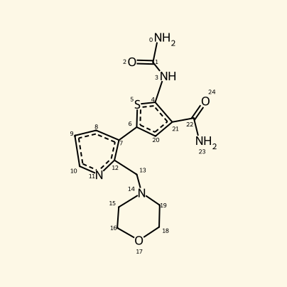 NC(=O)Nc1sc(-c2cccnc2CN2CCOCC2)cc1C(N)=O